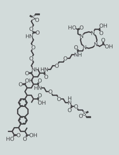 C=CS(=C)(=O)CCOC(=O)NCCOCCOCCNC(=O)C(CC(C)C(=O)NCCOCCOCCNC(=O)CN1CCN(CC(=O)O)CCN(CC(=O)O)CCN(CC(=O)O)CC1)CC(CC(CC(CC(C)C(=O)O)c1ccc2c(c1)CCc1ccc(C(CC(C)C(=O)O)CC(C)C(=O)O)cc1CC2)C(=O)O)C(=O)NCCOCCOCCNC(=O)OCCS(=C)(=O)C=C